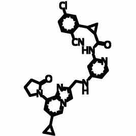 N#Cc1ccc(Cl)cc1C1CC1C(=O)Nc1cc(NCc2cn3cc(C4CC4)cc(N4CCCC4=O)c3n2)ccn1